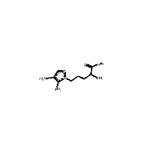 CC(CCCn1ncc(N)c1N)C(=O)O